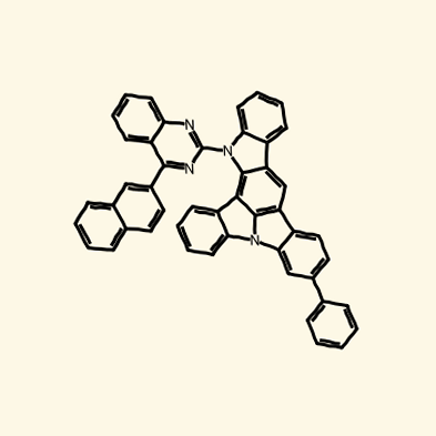 c1ccc(-c2ccc3c4cc5c6ccccc6n(-c6nc(-c7ccc8ccccc8c7)c7ccccc7n6)c5c5c6ccccc6n(c3c2)c45)cc1